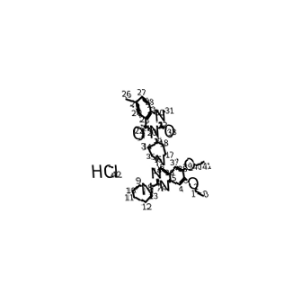 CCOc1cc2nc(N3CCCCC3)nc(N3CCC(n4c(=O)c5cc(C)ccc5n(C)c4=O)CC3)c2cc1OCC.Cl